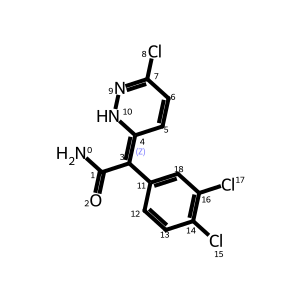 NC(=O)/C(=C1/C=CC(Cl)=NN1)c1ccc(Cl)c(Cl)c1